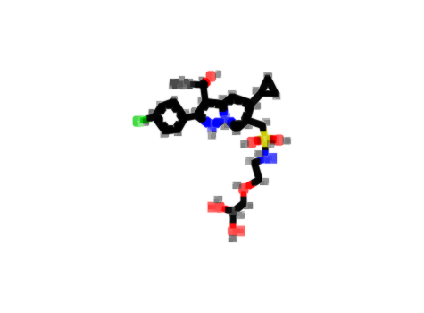 CNC(=O)c1c(-c2ccc(Cl)cc2)nn2cc(CS(=O)(=O)NCCOCB(O)O)c(C3CC3)cc12